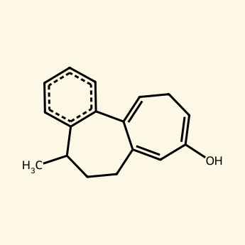 CC1CCC2=CC(O)=CCC=C2c2ccccc21